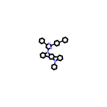 c1ccc(-c2ccc(-c3nc(-c4ccccc4)cc(-n4c5ccccc5c5cc6c(cc54)c4ccccc4n6-c4ccccc4)n3)cc2)cc1